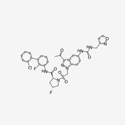 CC(=O)c1nn(CS(=O)(=O)N2C[C@H](F)C[C@H]2C(=O)Nc2cccc(-c3ccccc3Cl)c2F)c2ccc(NC(=O)NCc3ccon3)cc12